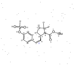 CC(C)(C)OC(=O)N1[C@@H](/C=C\c2ccc(OS(C)(=O)=O)cc2)COC1(C)C